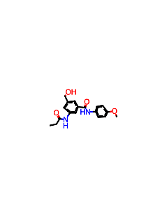 CCC(=O)Nc1cc(CO)cc(C(=O)Nc2ccc(OC)cc2)c1